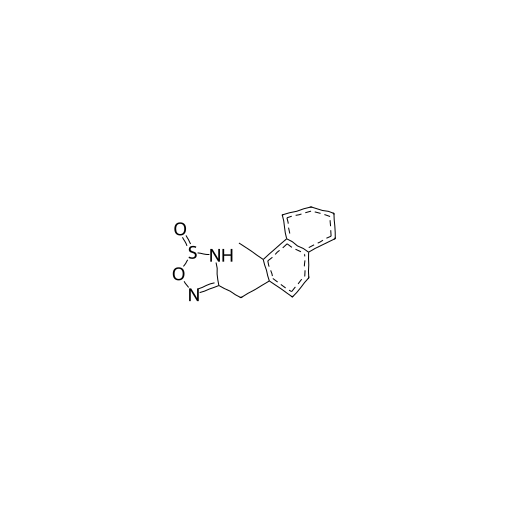 Cc1c(CC2=NOS(=O)N2)ccc2ccccc12